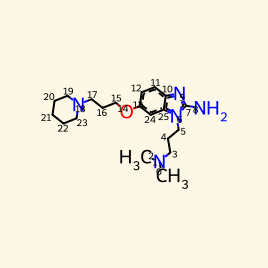 CN(C)CCCn1c(N)nc2ccc(OCCCN3CCCCC3)cc21